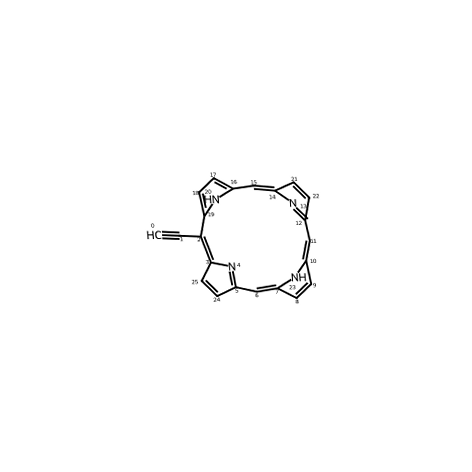 C#Cc1c2nc(cc3ccc(cc4nc(cc5ccc1[nH]5)C=C4)[nH]3)C=C2